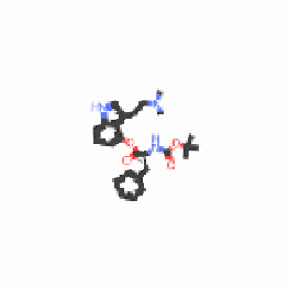 CN(C)CCc1c[nH]c2cccc(OC(=O)[C@H](Cc3ccccc3)NC(=O)OC(C)(C)C)c12